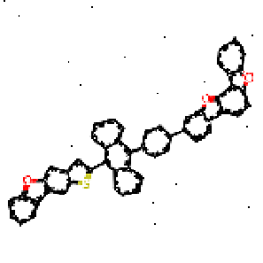 c1ccc2c(c1)oc1cc3cc(-c4c5ccccc5c(-c5ccc(-c6ccc7c(c6)oc6c7ccc7oc8ccccc8c76)cc5)c5ccccc45)sc3cc12